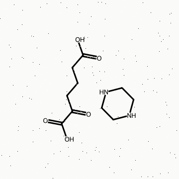 C1CNCCN1.O=C(O)CCCC(=O)C(=O)O